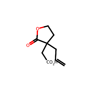 C=CCC1(CC(=O)O)CCOC1=O